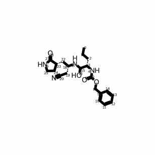 CCC[C@H](NC(=O)OCc1ccccc1)C(O)N[C@H](CC#N)C[C@@H]1CCNC1=O